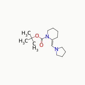 CC(C)(C)OC(=O)N1CCCCC1=CN1CCCC1